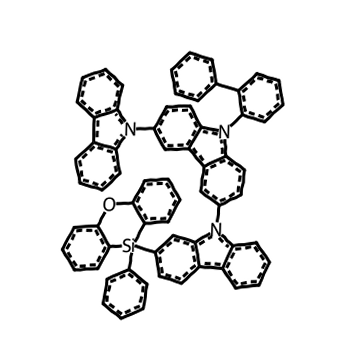 c1ccc(-c2ccccc2-n2c3ccc(-n4c5ccccc5c5ccccc54)cc3c3cc(-n4c5ccccc5c5ccc([Si]6(c7ccccc7)c7ccccc7Oc7ccccc76)cc54)ccc32)cc1